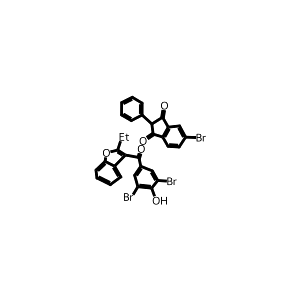 CCc1oc2ccccc2c1C(=O)c1cc(Br)c(O)c(Br)c1.O=C1c2ccc(Br)cc2C(=O)C1c1ccccc1